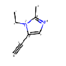 C#Cc1cnc(C)n1CC